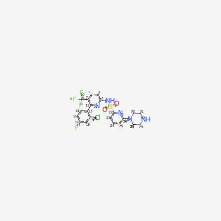 O=S(=O)(Nc1ccc(C(F)(F)F)c(-c2ccc(F)cc2Cl)n1)c1cccc(N2CCNCC2)n1